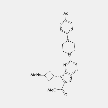 CN[C@H]1C[C@H](n2c(C(=O)OC)cc3ccc(N4CCN(c5ccc(C(C)=O)cc5)CC4)nc32)C1